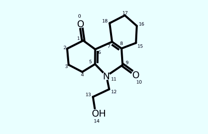 O=C1CCCc2c1c1c(c(=O)n2CCO)CCCC1